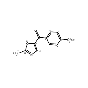 C=C(c1ccc(OC)cc1)c1nnc(C(Cl)(Cl)Cl)o1